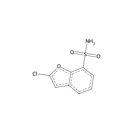 NS(=O)(=O)c1cccc2cc(Cl)oc12